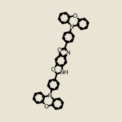 c1ccc2c(c1)Oc1ccccc1N2c1ccc(-c2nc3cc4c(cc3o2)OC(c2ccc(N3c5ccccc5Oc5ccccc53)cc2)N4)cc1